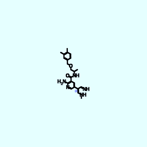 CN/C=C(\C=N)c1cnc(N)c(C(=O)NC(C)COCc2ccc(C)c(C)c2)c1